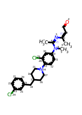 CC(=C/C=O)/N=C(/C)N(C)c1ccc(N2CCC(Cc3cccc(Cl)c3)CC2)c(Cl)c1